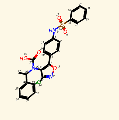 Cc1noc(-c2ccc(NS(=O)(=O)c3ccccc3)cc2)c1N(C(=O)O)C(C)c1ccccc1Cl